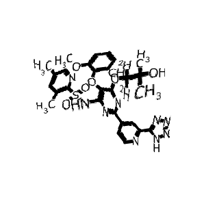 [2H]C([2H])(Oc1nc(-c2ccnc(-c3nnn[nH]3)c2)nc(NS(=O)(=O)c2ncc(C)cc2C)c1Oc1c(C)cccc1OC)C(C)(C)O